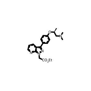 CCOC(=O)Cn1nc(-c2ccc(O[C@@H](C)CN(C)C)cc2)c2cccnc21